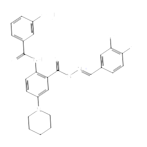 O=C(O)c1cccc(C(=O)Nc2ccc(N3CCCCC3)cc2C(=O)N/N=C/c2ccc(Cl)c(C(F)(F)F)c2)c1